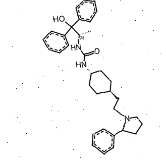 C[C@H](NC(=O)N[C@H]1CC[C@H](CCN2CCCC2c2ccccc2)CC1)C(O)(c1ccccc1)c1ccccc1